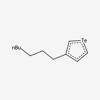 CCCCCCCc1cc[te]c1